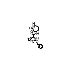 O=C(NC(C(=O)NC1CCCCNC(=O)C1=O)c1nccs1)OCc1ccccc1